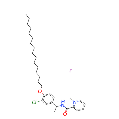 CCCCCCCCCCCCCCCCOc1ccc(C(C)NC(=O)c2cccc[n+]2C)cc1Cl.[I-]